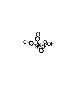 O=C(O)COc1ccccc1C1=NC(c2ccc(Cl)cc2)C(c2ccc(Cl)cc2)N1